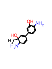 CC1(O)C=C(c2ccc(N)c(O)c2)C=CC1N